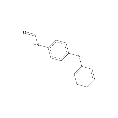 O=CNc1ccc(NC2=CCCC=C2)cc1